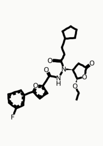 CCO[C@H]1OC(=O)C[C@@H]1N(NC(=O)c1ccc(-c2cccc(F)c2)o1)C(=O)CCC1CCCC1